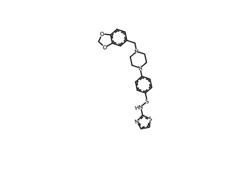 c1csc(NSc2ccc(N3CCN(Cc4ccc5c(c4)OCO5)CC3)cc2)n1